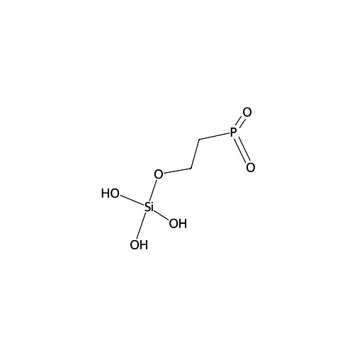 O=P(=O)CCO[Si](O)(O)O